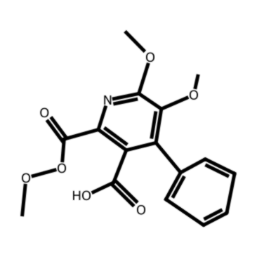 COOC(=O)c1nc(OC)c(OC)c(-c2ccccc2)c1C(=O)O